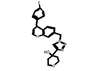 OC1(c2cn(Cc3ccc4c(c3)OC=CC4c3ccc(F)cc3)nn2)CCOCC1